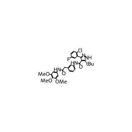 COc1cc(NC(=O)Cc2cccc(NC(=O)c3c(-c4cc(F)ccc4Cl)n[nH]c3C(C)(C)C)c2)cc(OC)c1OC